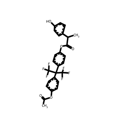 CC(=O)Oc1ccc(C(c2ccc(OC(=O)C(C)c3ccc(O)cc3)cc2)(C(F)(F)F)C(F)(F)F)cc1